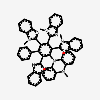 CN1c2ccccc2N(c2c(-c3nc4ccccc4n3C)c(-c3ccccc3)c(-c3nc4ccccc4n3C)c(-c3nc4ccccc4n3C)c2-c2nc3ccccc3n2C)c2ccccc21